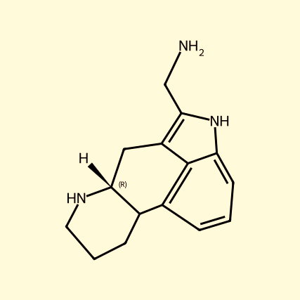 NCc1[nH]c2cccc3c2c1C[C@H]1NCCCC31